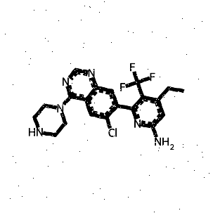 CCc1cc(N)nc(-c2cc3ncnc(N4CCNCC4)c3cc2Cl)c1C(F)(F)F